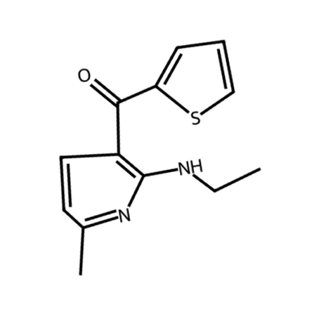 CCNc1nc(C)ccc1C(=O)c1cccs1